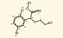 CCOC(=N)C(CCCCl)c1cc(Br)ccc1Cl